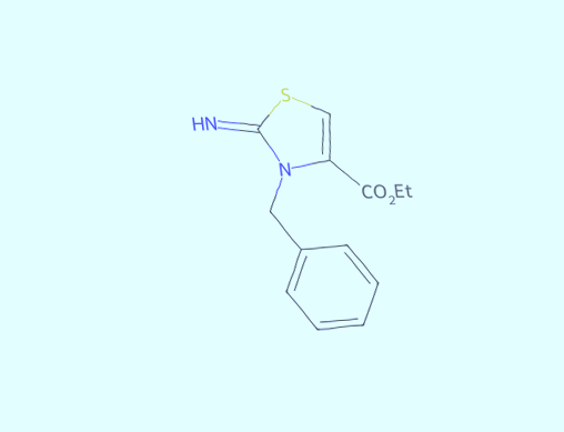 CCOC(=O)c1csc(=N)n1Cc1ccccc1